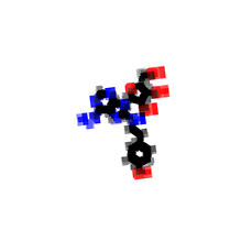 Nc1ncnc2c1nc(NCCc1ccc(O)cc1)n2[C@@H]1O[C@H](CO)C(O)C1O